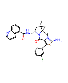 Nc1nc(C(=O)N2[C@H](CNC(=O)c3cccc4ncccc34)C[C@@H]3C[C@@H]32)c(-c2cccc(F)c2)s1